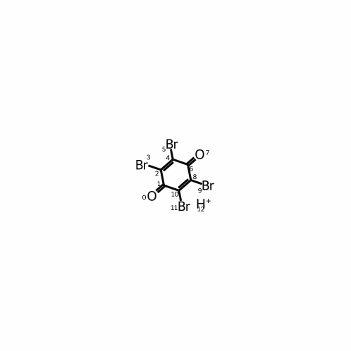 O=C1C(Br)=C(Br)C(=O)C(Br)=C1Br.[H+]